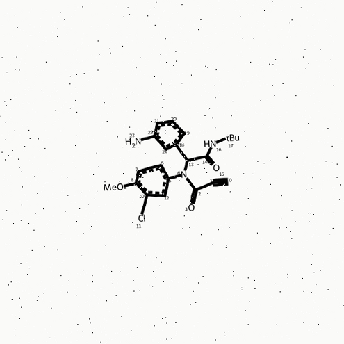 C#CC(=O)N(c1ccc(OC)c(Cl)c1)C(C(=O)NC(C)(C)C)c1cccc(N)c1